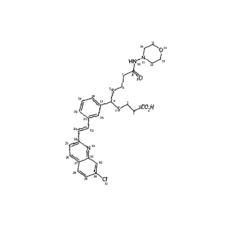 O=C(O)CCSC(SCCC(=O)NN1CCOCC1)c1cccc(C=Cc2ccc3ccc(Cl)cc3n2)c1